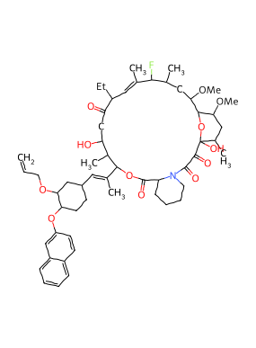 C=CCOC1CC(C=C(C)C2OC(=O)C3CCCCN3C(=O)C(=O)C3(O)OC(C(OC)CC(C)C(F)/C(C)=C/C(CC)C(=O)CC(O)C2C)C(OC)CC3C)CCC1Oc1ccc2ccccc2c1